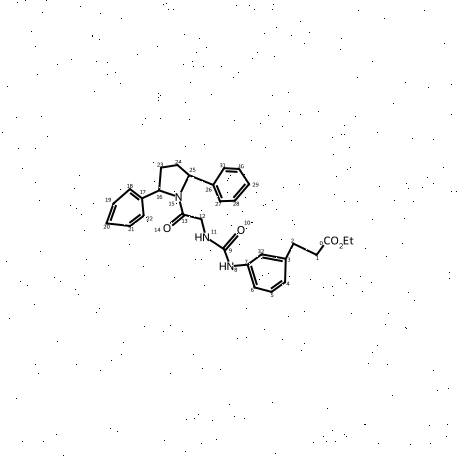 CCOC(=O)CCc1cccc(NC(=O)NCC(=O)N2C(c3ccccc3)CCC2c2ccccc2)c1